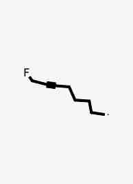 [CH2]CCCCC#CCF